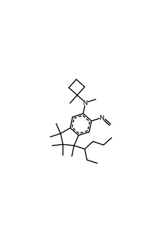 C=Nc1cc2c(cc1N(C)C1(C)CCC1)C(C)(C)C(C)(C)C2(C)C(CC)CCC